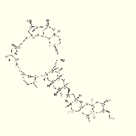 C=C1C[C@@H]2CC[C@]34C[C@@H](O)C(O3)[C@H]3CC(O4)C4O[C@H](CC[C@@H]4O3)CC(=O)O[C@@H]3[C@@H](C)[C@@H]4O[C@@H]5C[C@]6(C[C@@H]7O[C@]8(C[C@H](C)[C@@H]9O[C@H](CN)[C@H](O)C[C@@H]9O8)C[C@H](C)[C@@H]7O6)O[C@@H]5C[C@@H]4O[C@H]3C[C@H]3O[C@H](CCC3=C)CC[C@@H]1O2